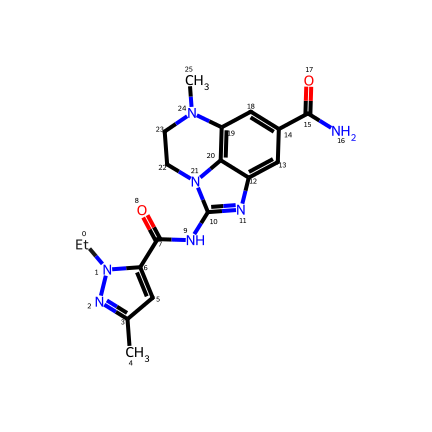 CCn1nc(C)cc1C(=O)Nc1nc2cc(C(N)=O)cc3c2n1CCN3C